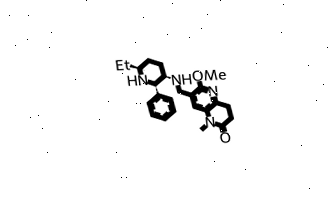 CC[C@H]1CC[C@H](NCc2cc3c(nc2OC)CCC(=O)N3C)[C@H](c2ccccc2)N1